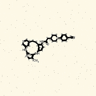 Cc1cnc2nc1Nc1ccc(NC(=O)CC3CCN(c4ccc(C#N)cc4)CC3)c(c1)CCc1cncc(c1)N2